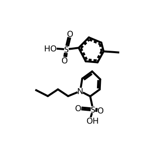 CCCCN1C=CC=CC1S(=O)(=O)O.Cc1ccc(S(=O)(=O)O)cc1